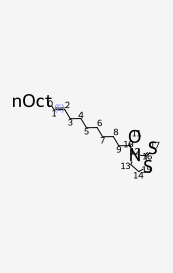 CCCCCCCC/C=C/CCCCCCCC(=O)N1CCSC1=S